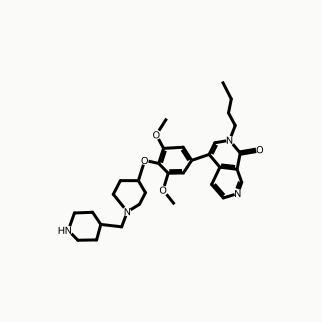 CCCCn1cc(-c2cc(OC)c(OC3CCN(CC4CCNCC4)CC3)c(OC)c2)c2ccncc2c1=O